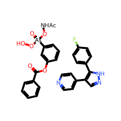 CC(=O)NO[As](=O)(OO)c1cccc(OC(=O)c2ccccc2)c1.Fc1ccc(-c2[nH]ncc2-c2ccncc2)cc1